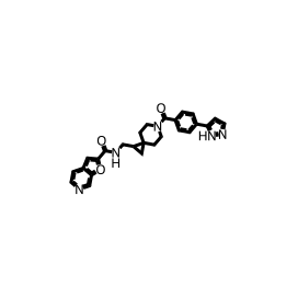 O=C(NCC1CC12CCN(C(=O)c1ccc(-c3ccn[nH]3)cc1)CC2)c1cc2ccncc2o1